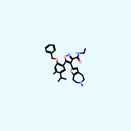 CCNC(=O)c1noc(-c2cc(C(C)C)c(C)cc2OCc2ccccc2)c1-c1cc2c(s1)CCN(C)CC2